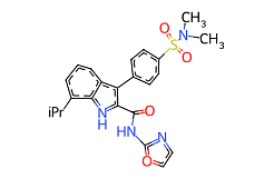 CC(C)c1cccc2c(-c3ccc(S(=O)(=O)N(C)C)cc3)c(C(=O)Nc3ncco3)[nH]c12